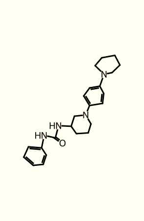 O=C(Nc1ccccc1)NC1CCCN(c2ccc(N3CCCCC3)cc2)C1